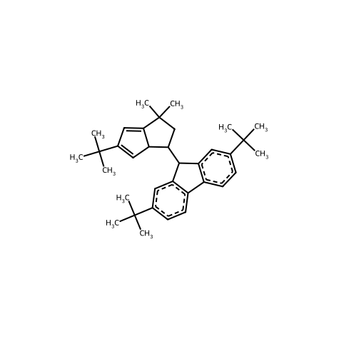 CC(C)(C)C1=CC2C(=C1)C(C)(C)CC2C1c2cc(C(C)(C)C)ccc2-c2ccc(C(C)(C)C)cc21